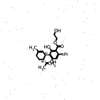 C=C(C)[C@@H]1CCC(C)=C[C@H]1c1c(O)cc(CCC)c(C(=O)OCCO)c1O